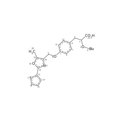 CCC(C)OC(Cc1ccc(OCc2nc(-c3cccs3)oc2C)cc1)C(=O)O